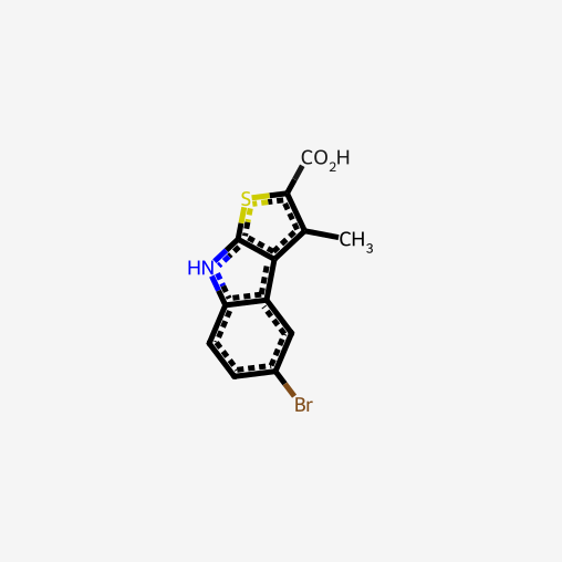 Cc1c(C(=O)O)sc2[nH]c3ccc(Br)cc3c12